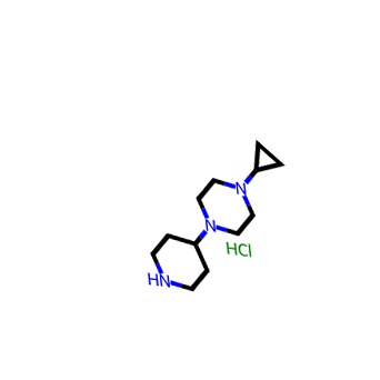 C1CC(N2CCN(C3CC3)CC2)CCN1.Cl